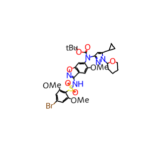 COc1cc2c(NS(=O)(=O)c3c(OC)cc(Br)cc3OC)noc2cc1N(C(=O)OC(C)(C)C)c1cc(C2CC2)n(C2CCCCO2)n1